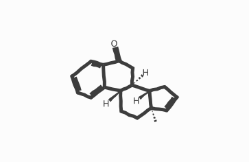 C[C@@]12C=CC[C@H]1[C@@H]1CC(=O)c3ccccc3[C@H]1CC2